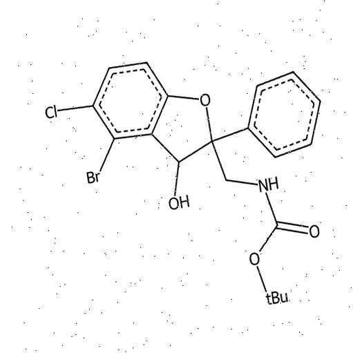 CC(C)(C)OC(=O)NCC1(c2ccccc2)Oc2ccc(Cl)c(Br)c2C1O